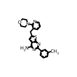 Cc1cccc(-c2nc(N)c3cc(Cc4cccnc4N4CCOCC4)sc3n2)c1